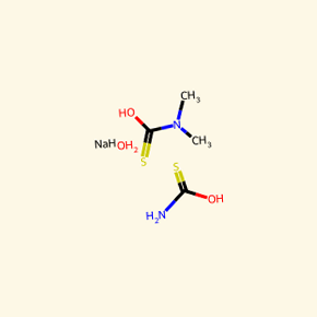 CN(C)C(O)=S.NC(O)=S.O.[NaH]